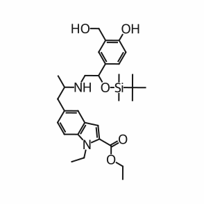 CCOC(=O)c1cc2cc(CC(C)NCC(O[Si](C)(C)C(C)(C)C)c3ccc(O)c(CO)c3)ccc2n1CC